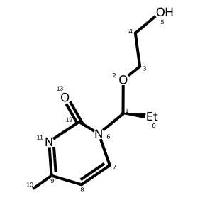 CC[C@H](OCCO)n1ccc(C)nc1=O